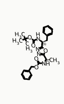 C[C@H](NC(=O)OCc1ccccc1)c1nnc([C@H](Cc2ccccc2)NC(=O)OC(C)(C)C)o1